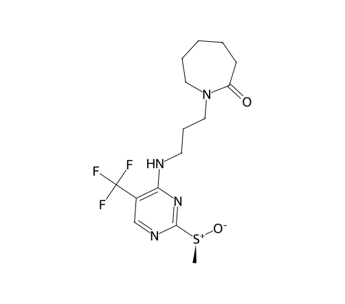 C[S@+]([O-])c1ncc(C(F)(F)F)c(NCCCN2CCCCCC2=O)n1